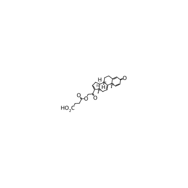 C[C@]12C=CC(=O)C=C1CC[C@@H]1C2=CC[C@]2(C)C(C(=O)COC(=O)CCC(=O)O)=CC[C@@H]12